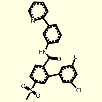 CS(=O)(=O)c1ccc(C(=O)Nc2cccc(-c3ccccn3)c2)c(-c2cc(Cl)cc(Cl)c2)c1